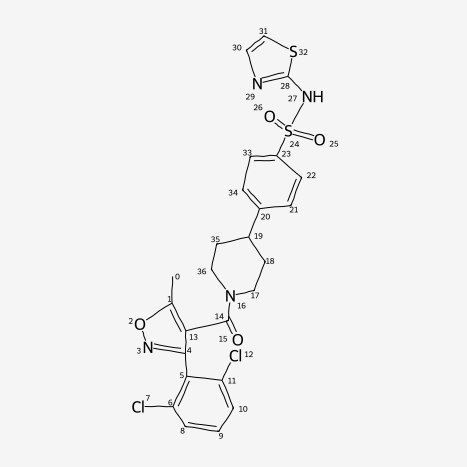 Cc1onc(-c2c(Cl)cccc2Cl)c1C(=O)N1CCC(c2ccc(S(=O)(=O)Nc3nccs3)cc2)CC1